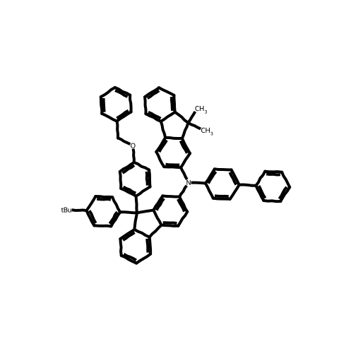 CC(C)(C)c1ccc(C2(c3ccc(OCc4ccccc4)cc3)c3ccccc3-c3ccc(N(c4ccc(-c5ccccc5)cc4)c4ccc5c(c4)C(C)(C)c4ccccc4-5)cc32)cc1